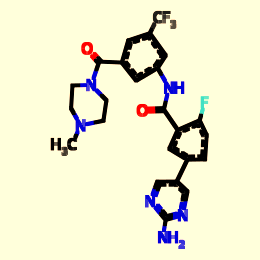 CN1CCN(C(=O)c2cc(NC(=O)c3cc(-c4cnc(N)nc4)ccc3F)cc(C(F)(F)F)c2)CC1